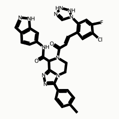 Cc1ccc(-c2nnc3n2CCN(C(=O)/C=C/c2cc(Cl)c(F)cc2N2C=NNN2)C3C(=O)Nc2ccc3cn[nH]c3c2)cc1